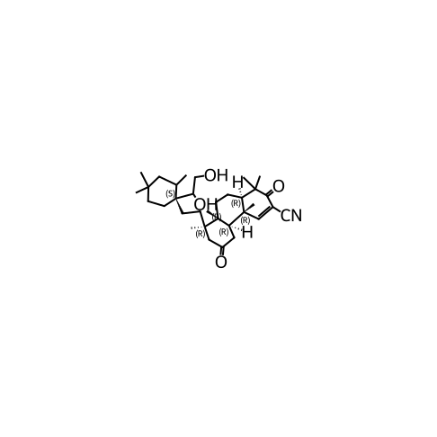 CC1CC(C)(C)CC[C@@]1(CC[C@]1(C)CC(=O)C[C@@H]2[C@@]3(C)C=C(C#N)C(=O)C(C)(C)[C@@H]3CC[C@]21C)C(O)CO